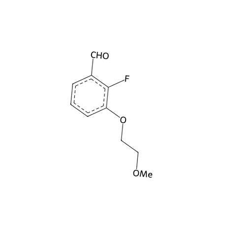 COCCOc1cccc(C=O)c1F